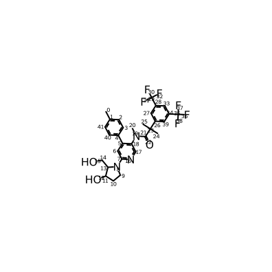 Cc1ccc(-c2cc(N3CCC(O)C3CO)ncc2N(C)C(=O)C(C)(C)c2cc(C(F)(F)F)cc(C(F)(F)F)c2)cc1